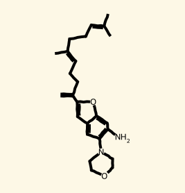 C=C(CC/C=C(\C)CCC=C(C)C)c1cc2cc(N3CCOCC3)c(N)cc2o1